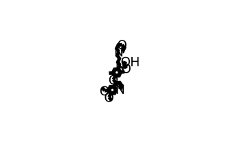 COc1cc2nccc(Oc3cc(C)c(N(CCCN4CCOCC4)C(=O)O)cc3C)c2cc1OC